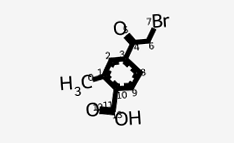 Cc1cc(C(=O)CBr)ccc1C(=O)O